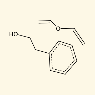 C=COC=C.OCCc1ccccc1